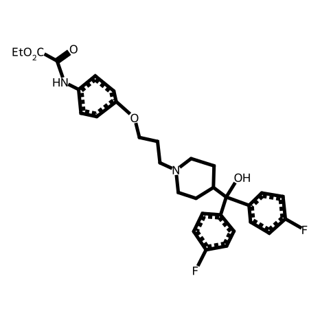 CCOC(=O)C(=O)Nc1ccc(OCCCN2CCC(C(O)(c3ccc(F)cc3)c3ccc(F)cc3)CC2)cc1